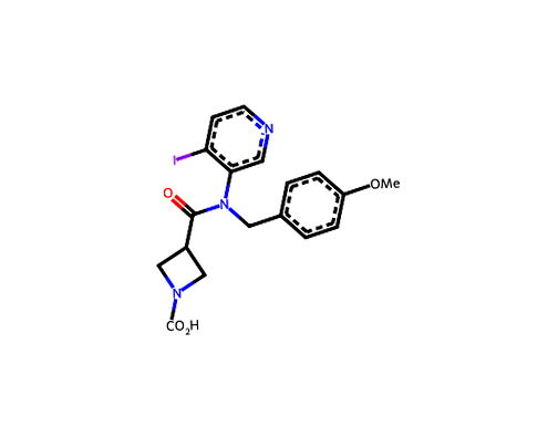 COc1ccc(CN(C(=O)C2CN(C(=O)O)C2)c2cnccc2I)cc1